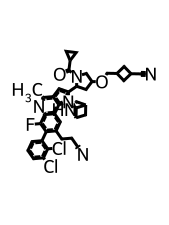 Cc1nc2c(F)c(-c3cccc(Cl)c3Cl)c(CCC#N)cc2c2c1cc(C1CC(OCC3CC(C#N)C3)CN1C(=O)C1CC1)n2C1C2CNC1C2